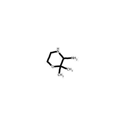 CC1(C)OCCNC1N